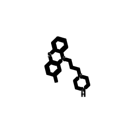 Cc1ccc2c(c1)N(CCCN1CCNCC1)c1ccccc1S2